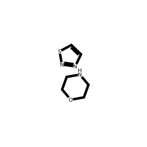 C1COCCN1.c1csnn1